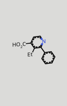 CCc1c(C(=O)O)ccnc1-c1ccccc1